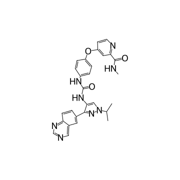 CNC(=O)c1cc(Oc2ccc(NC(=O)Nc3cn(C(C)C)nc3-c3ccc4ncncc4c3)cc2)ccn1